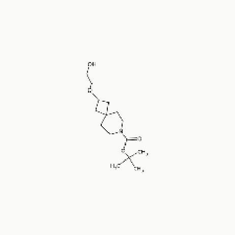 CC(C)(C)OC(=O)N1CCC2(CC1)CC(OCCO)C2